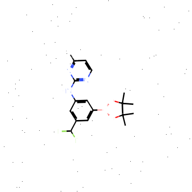 CC1(C)OB(c2cc(Nc3nccc(C(F)(F)F)n3)cc(C(F)F)c2)OC1(C)C